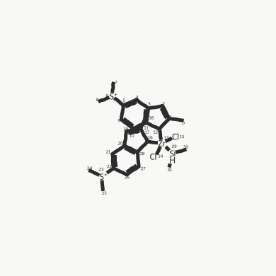 CC1=Cc2cc([S+](C)C)ccc2[CH]1[Zr]([Cl])([Cl])([CH]1C(C)=Cc2cc([S+](C)C)ccc21)[SiH](C)C